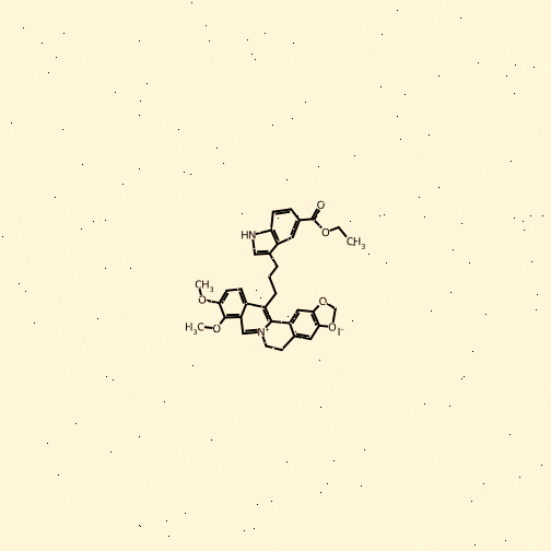 CCOC(=O)c1ccc2[nH]cc(CCCc3c4[n+](cc5c(OC)c(OC)ccc35)CCc3cc5c(cc3-4)OCO5)c2c1.[I-]